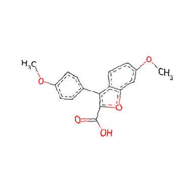 COc1ccc(-c2c(C(=O)O)oc3cc(OC)ccc23)cc1